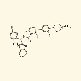 CN1CCC(c2ccc(-c3ccc4c(c3F)C(=O)N(C(c3nc5ccccc5[nH]3)c3cc(F)ccc3O)C4)cc2F)CC1